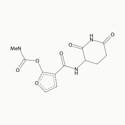 CNC(=O)Oc1occc1C(=O)NC1CCC(=O)NC1=O